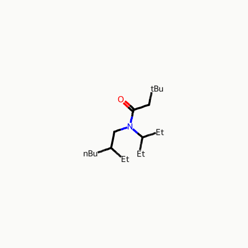 CCCCC(CC)CN(C(=O)CC(C)(C)C)C(CC)CC